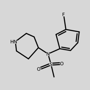 CS(=O)(=O)N(c1cccc(F)c1)C1CCNCC1